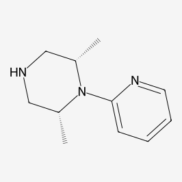 C[C@@H]1CNC[C@H](C)N1c1ccccn1